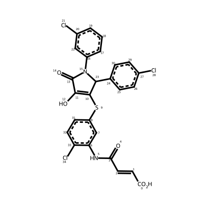 O=C(O)C=CC(=O)Nc1cc(SC2=C(O)C(=O)N(c3cccc(Cl)c3)C2c2ccc(Cl)cc2)ccc1Cl